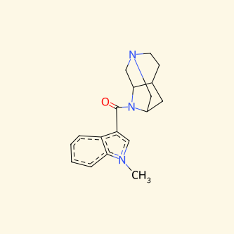 Cn1cc(C(=O)N2C3CC4CCN(C3)CC42)c2ccccc21